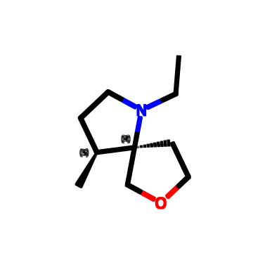 CCN1CC[C@H](C)[C@@]12CCOC2